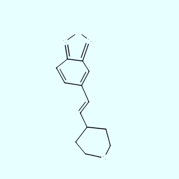 C(=CC1CCNCC1)c1ccc2nonc2c1